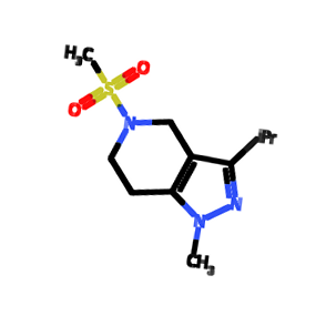 CC(C)c1nn(C)c2c1CN(S(C)(=O)=O)CC2